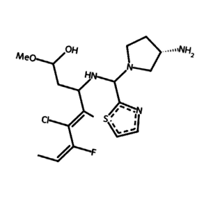 C/C=C(F)\C(Cl)=C(/C)C(CC(O)OC)NC(c1nccs1)N1CC[C@H](N)C1